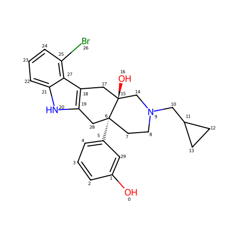 Oc1cccc([C@@]23CCN(CC4CC4)C[C@@]2(O)Cc2c([nH]c4cccc(Br)c24)C3)c1